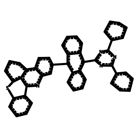 c1ccc(-c2nc(-c3ccccc3)nc(-c3c4ccccc4c(-c4ccc5c(c4)nc4c6c(cccc65)Sc5ccccc5-4)c4ccccc34)n2)cc1